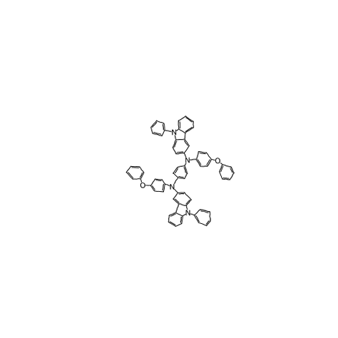 c1ccc(Oc2ccc(N(c3ccc(N(c4ccc(Oc5ccccc5)cc4)c4ccc5c(c4)c4ccccc4n5-c4ccccc4)cc3)c3ccc4c(c3)c3ccccc3n4-c3ccccc3)cc2)cc1